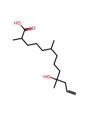 C=CCC(C)(O)CCCC(C)CCCC(C)C(=O)O